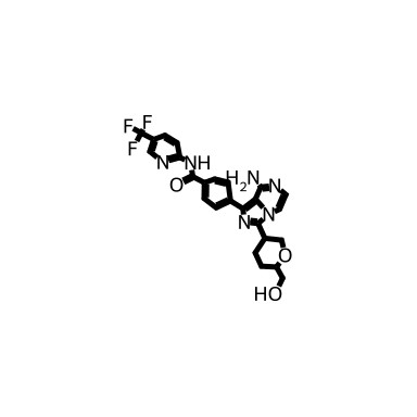 Nc1nccn2c(C3CCC(CO)OC3)nc(-c3ccc(C(=O)Nc4ccc(C(F)(F)F)cn4)cc3)c12